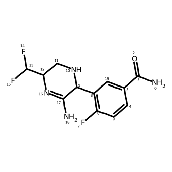 NC(=O)c1ccc(F)c(C2NCC(C(F)F)N=C2N)c1